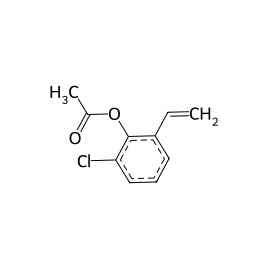 C=Cc1cccc(Cl)c1OC(C)=O